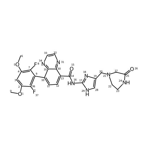 COc1cc(OC)c(F)c(-c2ccc(C(=O)Nc3nc(CN4CCNC(=O)C4)c[nH]3)c3nccnc23)c1F